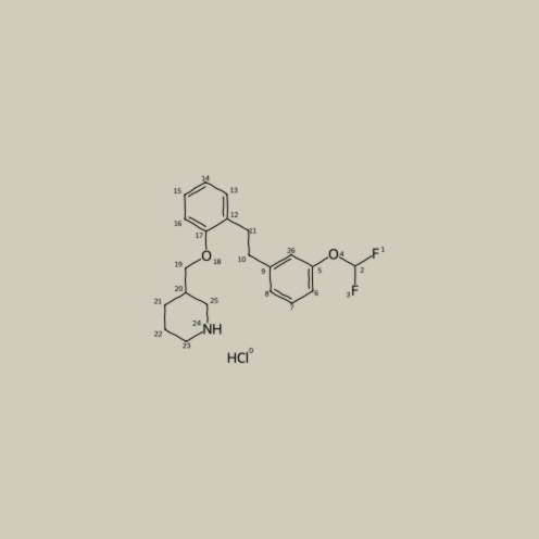 Cl.FC(F)Oc1cccc(CCc2ccccc2OCC2CCCNC2)c1